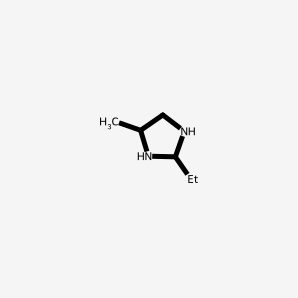 CCC1NCC(C)N1